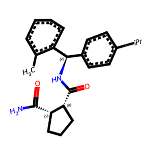 Cc1ccccc1[C@H](NC(=O)[C@@H]1CCC[C@@H]1C(N)=O)c1ccc(C(C)C)cc1